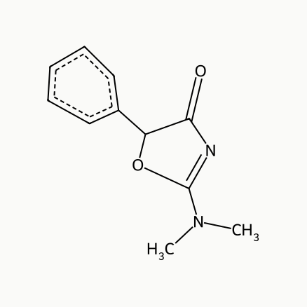 CN(C)C1=NC(=O)C(c2ccccc2)O1